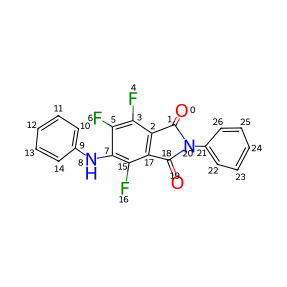 O=C1c2c(F)c(F)c(Nc3ccccc3)c(F)c2C(=O)N1c1ccccc1